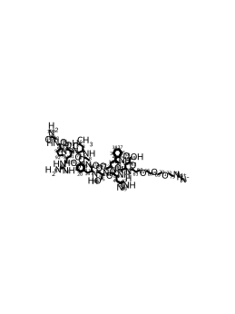 CC(C)CC(NC(=O)CNC(=O)C(Cc1ccc(O)cc1)NC(=O)C(CO)NC(=O)C(Cc1c[nH]c2ccccc12)NC(=O)C(Cc1c[nH]cn1)NC(=O)C(CCC(=O)O)NC(=O)CCOCCOCCOCCN=[N+]=[N-])C(=O)NC(CCCNC(=N)N)C(=O)N1CCCC1C(=O)NCC(N)=O